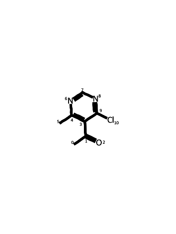 CC(=O)c1c(C)ncnc1Cl